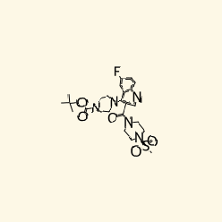 CC(C)(C)OC(=O)N1CCN(c2c(C(=O)N3CCN(S(C)(=O)=O)CC3)cnc3ccc(F)cc23)CC1